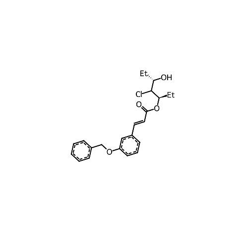 CC[C@H](O)C(Cl)[C@@H](CC)OC(=O)C=Cc1cccc(OCc2ccccc2)c1